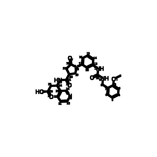 COc1ccccc1CNC(=O)Nc1cccc(N2CC(C(=O)NC(CC(=O)O)c3cccnc3)CC2=O)c1